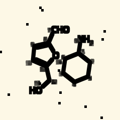 NC1CCCCC1.O=Cc1ccc(CO)o1